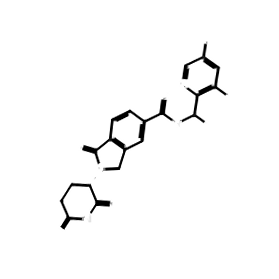 O=C1CC[C@H](N2Cc3cc(C(=O)NC(c4ncc(Cl)cc4F)C(F)(F)F)ccc3C2=O)C(=O)N1